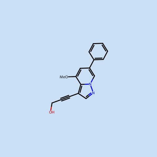 COc1cc(-c2ccccc2)cn2ncc(C#CCO)c12